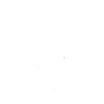 O=Cc1cc(Br)c(OCCCc2ccccc2)c(Br)c1